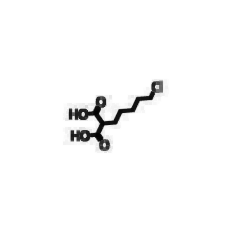 O=C(O)C(CCCCCCl)C(=O)O